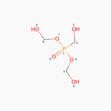 O=P(CO)(OCO)OCO